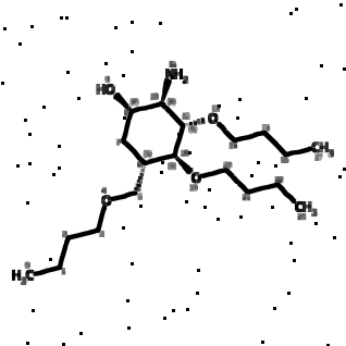 CCCCOC[C@@H]1C[C@@H](O)[C@@H](N)[C@H](OCCCC)[C@H]1OCCCC